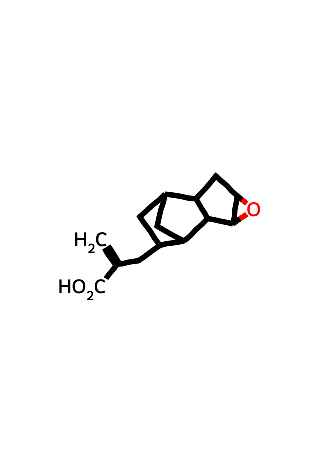 C=C(CC1CC2CC1C1C2CC2OC21)C(=O)O